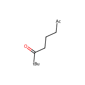 CC(=O)CCCC(=O)C(C)(C)C